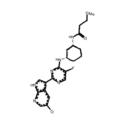 COCCC(=O)N[C@@H]1CCC[C@H](Nc2nc(-c3c[nH]c4ncc(Cl)cc34)ncc2F)C1